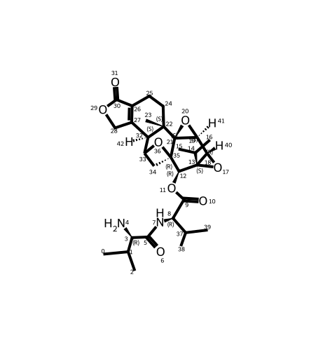 CC(C)[C@@H](N)C(=O)N[C@@H](C(=O)O[C@@H]1[C@@]2(C(C)C)O[C@H]2[C@@H]2O[C@@]23[C@@]2(C)CCC4=C(COC4=O)[C@@H]2C2C[C@@]13O2)C(C)C